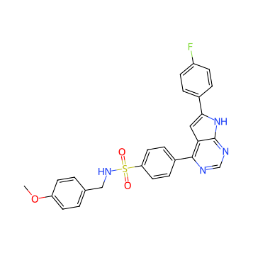 COc1ccc(CNS(=O)(=O)c2ccc(-c3ncnc4[nH]c(-c5ccc(F)cc5)cc34)cc2)cc1